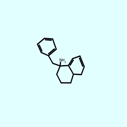 NC1(Cc2ccccc2)CCCC2CC=CC=C21